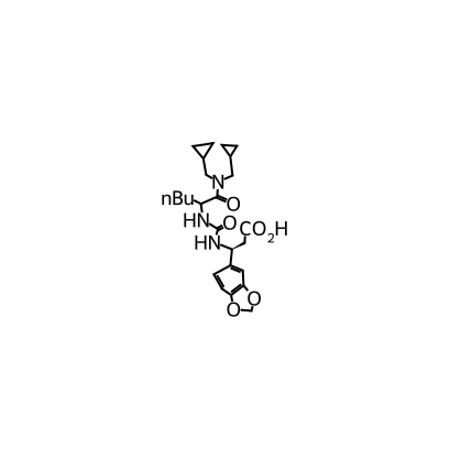 CCCCC(NC(=O)N[C@@H](CC(=O)O)c1ccc2c(c1)OCO2)C(=O)N(CC1CC1)CC1CC1